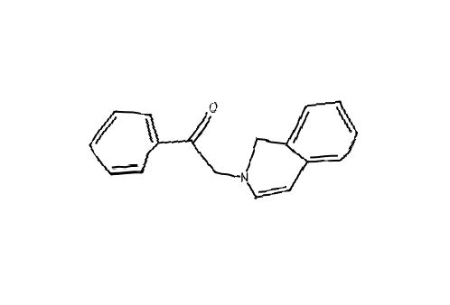 O=C(CN1C=Cc2ccccc2C1)c1ccccc1